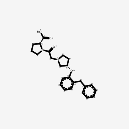 O=C(O)[C@@H]1CCCN1C(=O)CN1CC[C@H](Oc2ccccc2Cc2ccccc2)C1